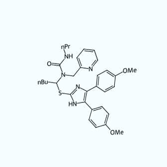 CCCCC(Sc1nc(-c2ccc(OC)cc2)c(-c2ccc(OC)cc2)[nH]1)N(Cc1ccccn1)C(=O)NCCC